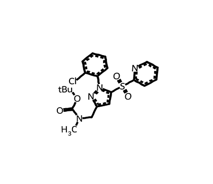 CN(Cc1cc(S(=O)(=O)c2ccccn2)n(-c2ccccc2Cl)n1)C(=O)OC(C)(C)C